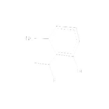 N#Cc1cccc(Br)c1C(F)F